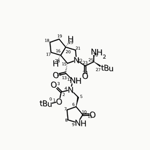 CC(C)(C)OC(=O)N(C[C@@H]1CCNC1=O)NC(=O)[C@@H]1[C@H]2CCC[C@H]2CN1C(=O)[C@@H](N)C(C)(C)C